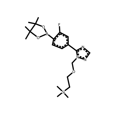 CC1(C)OB(c2ccc(-c3ncnn3COCC[Si](C)(C)C)cc2F)OC1(C)C